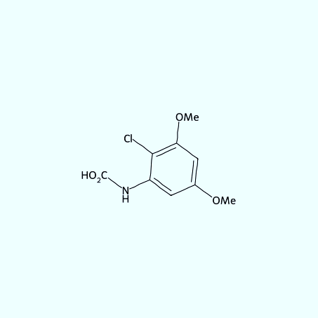 COc1cc(NC(=O)O)c(Cl)c(OC)c1